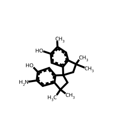 Cc1cc2c(cc1O)C1(CC2(C)C)CC(C)(C)c2cc(N)c(O)cc21